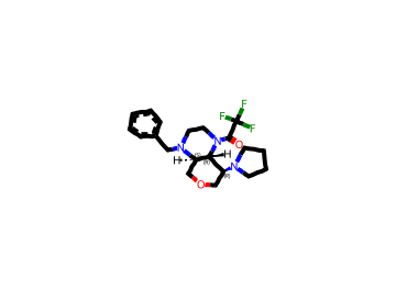 O=C(N1CCN(Cc2ccccc2)[C@@H]2COC[C@H](N3CCCC3)[C@H]21)C(F)(F)F